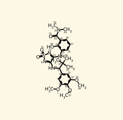 COc1cc(C(NC2=NS(=O)(=O)N=C2Nc2cccc(C(=O)N(C)C)c2O)C(C)(C)C)cc(OC)c1OC